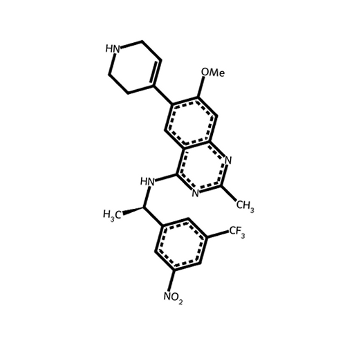 COc1cc2nc(C)nc(N[C@H](C)c3cc([N+](=O)[O-])cc(C(F)(F)F)c3)c2cc1C1=CCNCC1